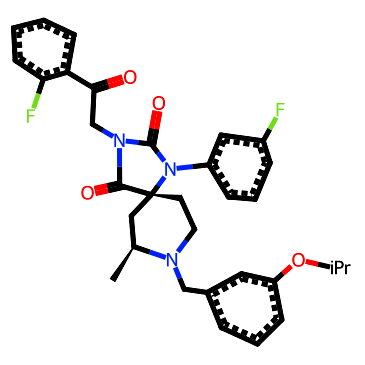 CC(C)Oc1cccc(CN2CC[C@@]3(C[C@@H]2C)C(=O)N(CC(=O)c2ccccc2F)C(=O)N3c2cccc(F)c2)c1